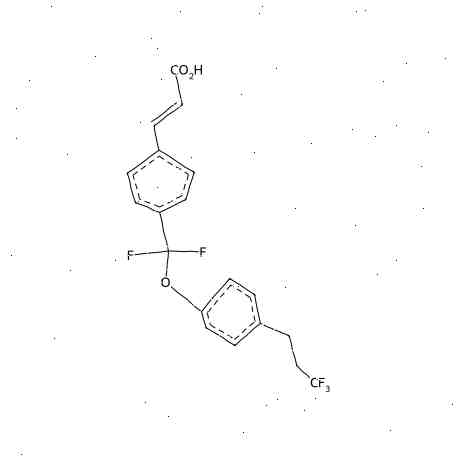 O=C(O)C=Cc1ccc(C(F)(F)Oc2ccc(CCC(F)(F)F)cc2)cc1